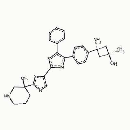 C[C@]1(O)C[C@@](N)(c2ccc(-c3nc(-c4cnc(C5(O)CCCNC5)s4)sc3-c3ccccc3)cc2)C1